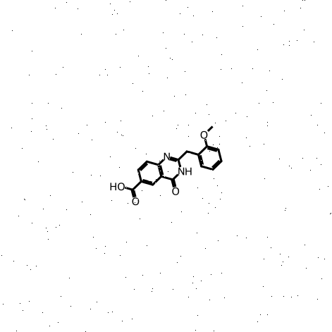 COc1ccccc1Cc1nc2ccc(C(=O)O)cc2c(=O)[nH]1